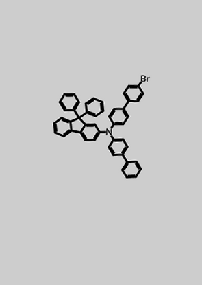 Brc1ccc(-c2ccc(N(c3ccc(-c4ccccc4)cc3)c3ccc4c(c3)C(c3ccccc3)(c3ccccc3)c3ccccc3-4)cc2)cc1